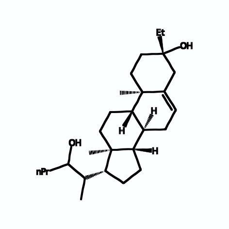 CCCC(O)C(C)[C@H]1CC[C@H]2[C@@H]3CC=C4C[C@](O)(CC)CC[C@]4(C)[C@H]3CC[C@]12C